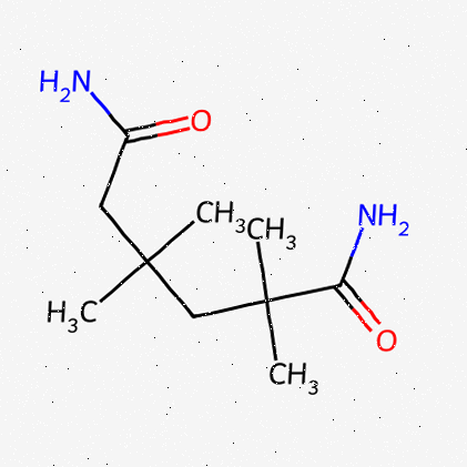 CC(C)(CC(N)=O)CC(C)(C)C(N)=O